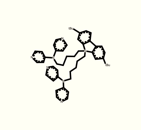 CC(C)(C)c1ccc2c(c1)[Si](CCCCCN(c1ccncc1)c1ccncc1)(CCCCCN(c1ccncc1)c1ccncc1)c1cc(C(C)(C)C)ccc1-2